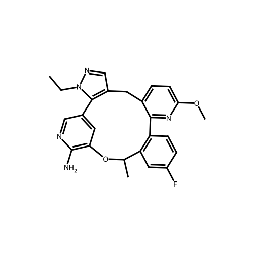 CCn1ncc2c1-c1cnc(N)c(c1)OC(C)c1cc(F)ccc1-c1nc(OC)ccc1C2